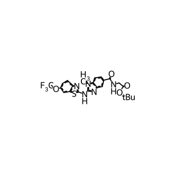 Cn1c(Nc2nc3ccc(OC(F)(F)F)cc3s2)nc2cc(C(=O)NCC(=O)OC(C)(C)C)ccc21